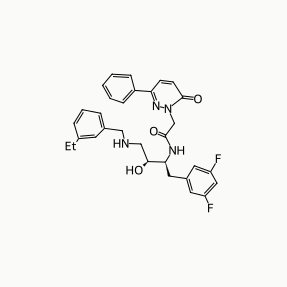 CCc1cccc(CNC[C@H](O)[C@H](Cc2cc(F)cc(F)c2)NC(=O)Cn2nc(-c3ccccc3)ccc2=O)c1